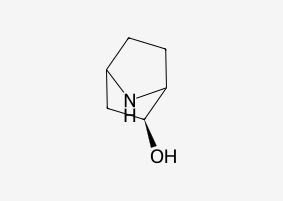 O[C@H]1CC2CCC1N2